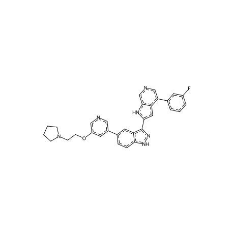 Fc1cccc(-c2cncc3[nH]c(-c4n[nH]c5ccc(-c6cncc(OCCN7CCCC7)c6)cc45)cc23)c1